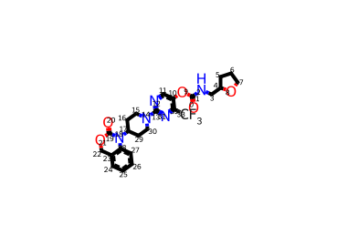 O=C(NCC1CCCO1)Oc1cnc(N2CCC(N3C(=O)OCc4ccccc43)CC2)nc1C(F)(F)F